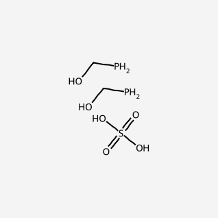 O=S(=O)(O)O.OCP.OCP